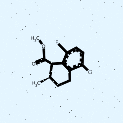 COC(=O)C1c2c(F)ccc(Cl)c2CC[C@H]1C